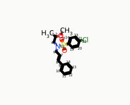 COC(C)CN(CC=Cc1ccccc1)S(=O)(=O)c1ccc(Cl)cc1